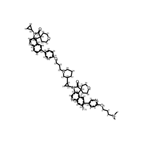 CN(C)CCCOc1ccc(-c2cc3c4c(cnc3cc2F)N(C2CC2C2CCCN(CCCOc3ccc(-c5ccc6ncc7c(c6c5)C5(CCOCC5)C(=O)N7C5CC5)cn3)C2)C(=O)C42CCOCC2)cn1